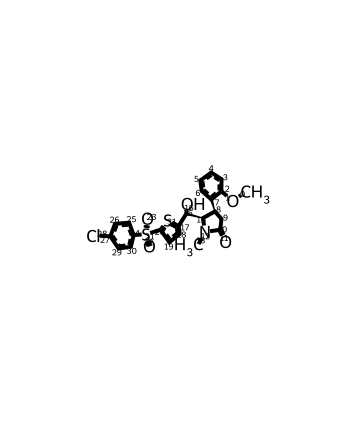 COc1ccccc1[C@H]1CC(=O)N(C)[C@H]1C(O)c1ccc(S(=O)(=O)c2ccc(Cl)cc2)s1